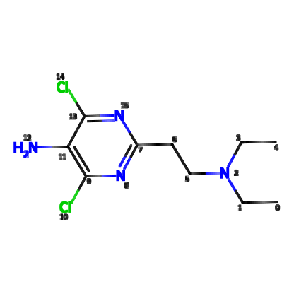 CCN(CC)CCc1nc(Cl)c(N)c(Cl)n1